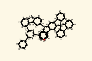 c1ccc(-c2nc(-c3ccccc3)nc(-c3cccc4oc5ccc(-n6c7ccccc7c7cc8c(cc76)-c6ccccc6C86c7ccccc7-c7ccccc76)cc5c34)n2)cc1